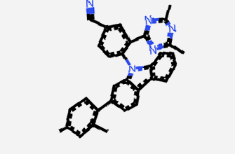 Cc1ccc(-c2ccc3c4ccccc4n(-c4ccc(C#N)cc4-c4nc(C)nc(C)n4)c3c2)c(C)c1